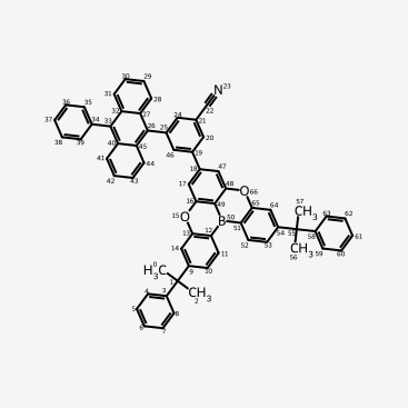 CC(C)(c1ccccc1)c1ccc2c(c1)Oc1cc(-c3cc(C#N)cc(-c4c5ccccc5c(-c5ccccc5)c5ccccc45)c3)cc3c1B2c1ccc(C(C)(C)c2ccccc2)cc1O3